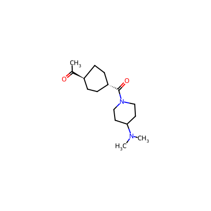 CC(=O)[C@H]1CC[C@H](C(=O)N2CCC(N(C)C)CC2)CC1